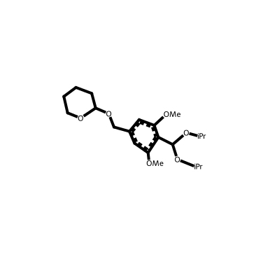 COc1cc(COC2CCCCO2)cc(OC)c1C(OC(C)C)OC(C)C